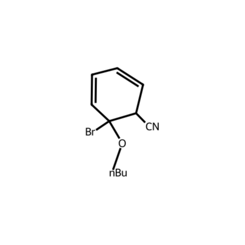 CCCCOC1(Br)C=CC=CC1C#N